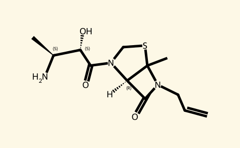 C=CCN1C(=O)[C@H]2N(C(=O)[C@@H](O)[C@H](C)N)CSC21C